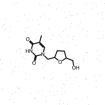 Cc1cn(CC2CCC(CO)O2)c(=O)[nH]c1=O